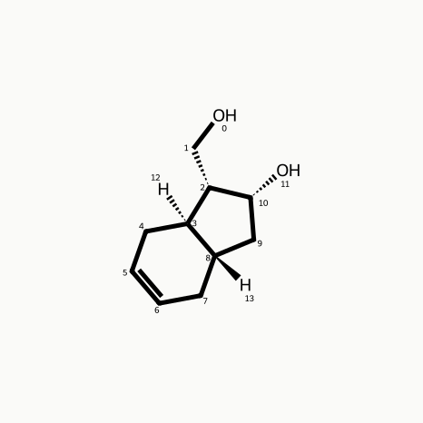 OC[C@H]1[C@@H]2CC=CC[C@H]2C[C@H]1O